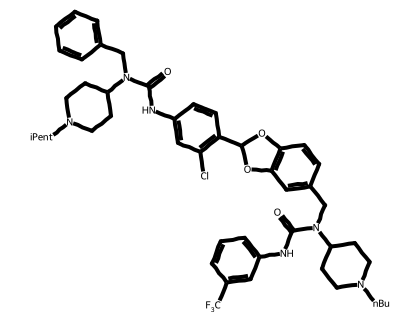 CCCCN1CCC(N(Cc2ccc3c(c2)OC(c2ccc(NC(=O)N(Cc4ccccc4)C4CCN(C(C)CCC)CC4)cc2Cl)O3)C(=O)Nc2cccc(C(F)(F)F)c2)CC1